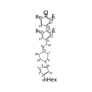 CCCCCCc1ccc([C@H]2CC[C@H](CCc3cc(F)c(-c4cc(F)c(Cl)c(F)c4)c(F)c3)CC2)cc1